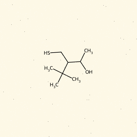 CC(O)C(CS)C(C)(C)C